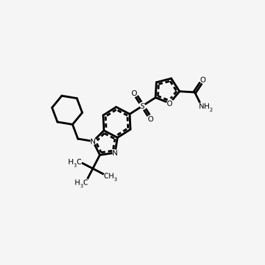 CC(C)(C)c1nc2cc(S(=O)(=O)c3ccc(C(N)=O)o3)ccc2n1CC1CCCCC1